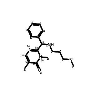 CSCCCNC(c1ccccc1)c1ncc(C)c(=O)n1C